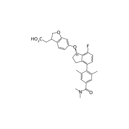 Cc1cc(C(=O)N(C)C)cc(C)c1-c1ccc(F)c2c1CC[C@H]2Oc1ccc2c(c1)OCC2CC(=O)O